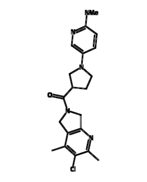 CNc1ccc(N2CCC(C(=O)N3Cc4nc(C)c(Cl)c(C)c4C3)C2)cn1